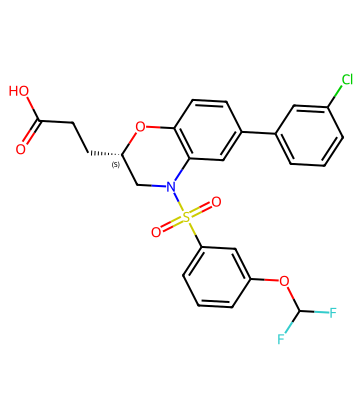 O=C(O)CC[C@H]1CN(S(=O)(=O)c2cccc(OC(F)F)c2)c2cc(-c3cccc(Cl)c3)ccc2O1